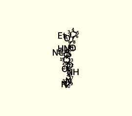 CCOc1ccccc1/C=C/C(=O)Nc1sc2c(c1C#N)CCC(OC(=O)NCCn1ccnc1)C2